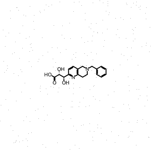 O=C(O)[C@H](O)[C@H](O)c1ccc2c(n1)CCN(Cc1ccccc1)C2